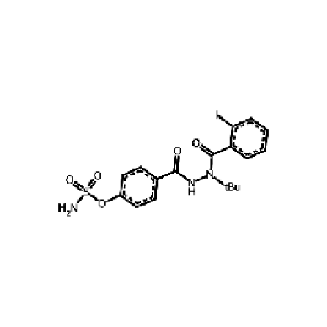 CC(C)(C)N(NC(=O)c1ccc(OS(N)(=O)=O)cc1)C(=O)c1ccccc1I